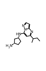 CCC(C)c1cc(N[C@H]2CC[C@@H](N)C2)n2nccc2n1